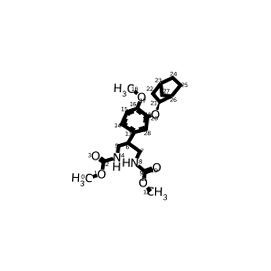 COC(=O)NCC(CNC(=O)OC)c1ccc(OC)c(O[C@H]2CC3CCC2C3)c1